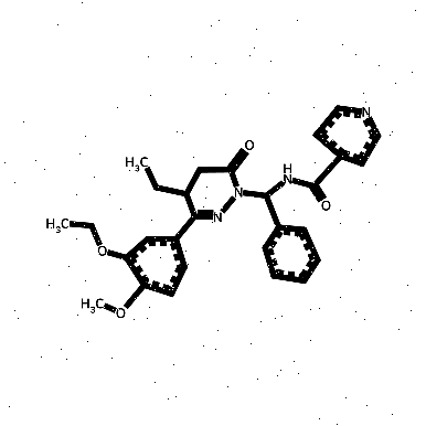 CCOc1cc(C2=NN(C(NC(=O)c3ccncc3)c3ccccc3)C(=O)CC2CC)ccc1OC